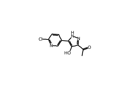 CC(=O)c1n[nH]c(-c2ccc(Cl)nc2)c1O